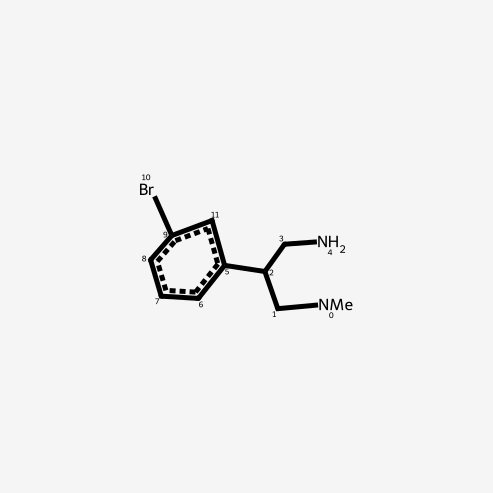 CNCC(CN)c1cccc(Br)c1